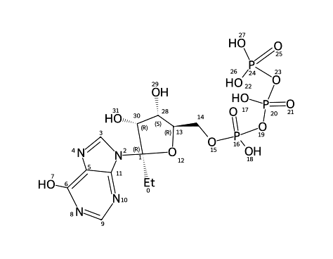 CC[C@@]1(n2cnc3c(O)ncnc32)O[C@H](COP(=O)(O)OP(=O)(O)OP(=O)(O)O)[C@@H](O)[C@H]1O